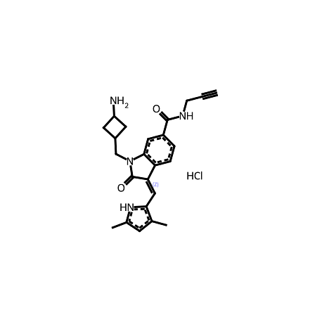 C#CCNC(=O)c1ccc2c(c1)N(CC1CC(N)C1)C(=O)/C2=C\c1[nH]c(C)cc1C.Cl